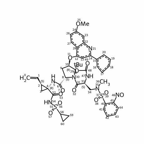 C=C[C@@H]1C[C@]1(NC(=O)[C@@H]1C[C@@H](Oc2cc(-c3ccccc3)nc3cc(OC)ccc23)CN1C(=O)[C@H](CN(C)S(=O)(=O)c1ccccc1N=O)NC(=O)OC(C)(C)C)C(=O)NS(=O)(=O)C1CC1